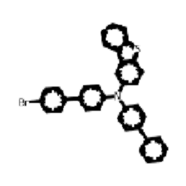 Brc1ccc(-c2ccc(N(c3ccc(-c4ccccc4)cc3)c3ccc4sc5ccccc5c4c3)cc2)cc1